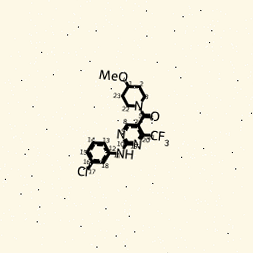 COC1CCN(C(=O)c2cnc(Nc3cccc(Cl)c3)nc2C(F)(F)F)CC1